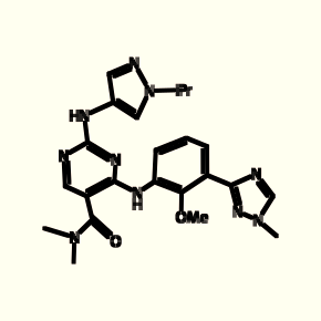 COc1c(Nc2nc(Nc3cnn(C(C)C)c3)ncc2C(=O)N(C)C)cccc1-c1ncn(C)n1